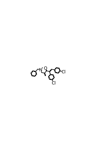 C=C(CN(C)Cc1ccccc1)C(=O)/C(=C/c1ccc(Cl)cc1)c1ccc(Cl)cc1